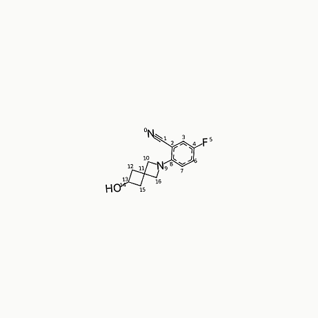 N#Cc1cc(F)ccc1N1CC2(CC(O)C2)C1